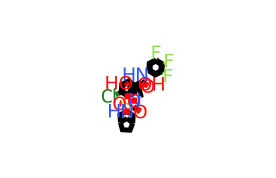 O=C(Nc1cc(F)c(F)c(F)c1)c1ccc(Cl)c(S(=O)(=O)C2CC3CCC(C2)C3NC(=O)N2CC(O)C(O)C2)c1